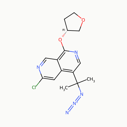 CC(C)(N=[N+]=[N-])c1cnc(O[C@@H]2CCOC2)c2cnc(Cl)cc12